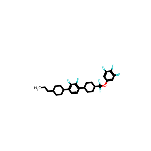 CCCC1CCC(c2ccc(C3CCC(C(F)(F)Oc4cc(F)c(F)c(F)c4)CC3)c(F)c2F)CC1